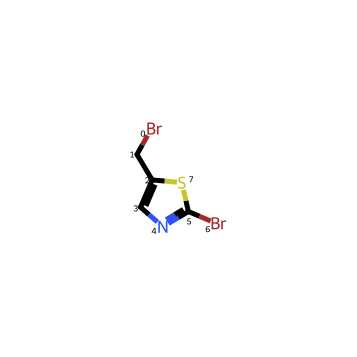 BrCc1cnc(Br)s1